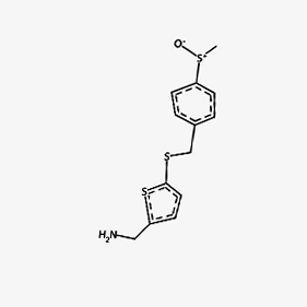 C[S+]([O-])c1ccc(CSc2ccc(CN)s2)cc1